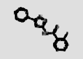 Cc1ccccc1C(=O)Nc1cc(-c2ccccc2)no1